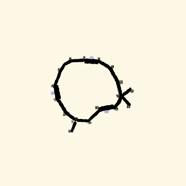 CP1C/C=C\CC/C=C\CCC(C)(C)/C=C/C1